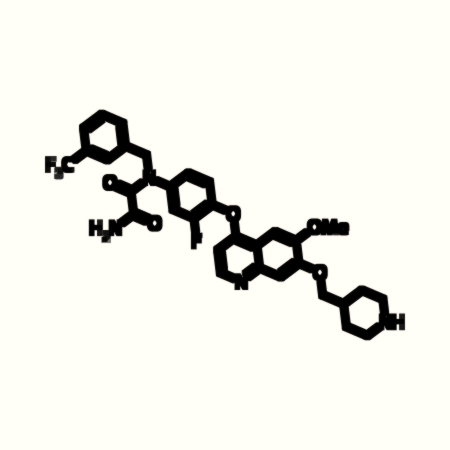 COc1cc2c(Oc3ccc(N(Cc4cccc(C(F)(F)F)c4)C(=O)C(N)=O)cc3F)ccnc2cc1OCC1CCNCC1